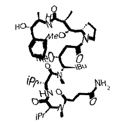 CC[C@H](C)[C@@H]([C@@H](CC(=O)N1CCC[C@H]1[C@H](OC)[C@H](C)C(=O)N[C@H](C)[C@@H](O)c1ccccc1)OC)N(C)C(=O)[C@H](NC(=O)[C@H](C(C)C)N(C)C(=O)CCC(N)=O)C(C)C